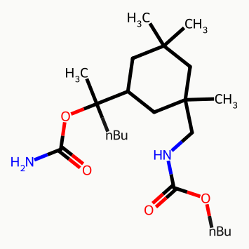 CCCCOC(=O)NCC1(C)CC(C(C)(CCCC)OC(N)=O)CC(C)(C)C1